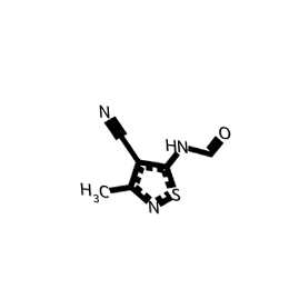 Cc1nsc(NC=O)c1C#N